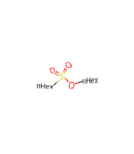 [CH2]CCCCCOS(=O)(=O)CCCCCC